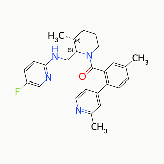 Cc1ccc(-c2ccnc(C)c2)c(C(=O)N2CCC[C@@H](C)[C@H]2CNc2ccc(F)cn2)c1